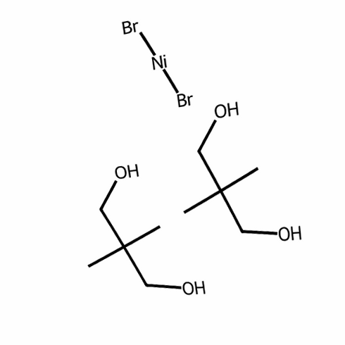 CC(C)(CO)CO.CC(C)(CO)CO.[Br][Ni][Br]